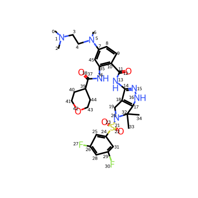 CN(C)CCN(C)c1ccc(C(=O)Nc2n[nH]c3c2CN(S(=O)(=O)c2cc(F)cc(F)c2)C3(C)C)c(NC(=O)C2CCOCC2)c1